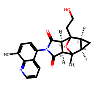 CC12OC(CCO)([C@@H]3C(=O)N(c4ccc(C#N)c5ncccc45)C(=O)[C@@H]31)[C@H]1C[C@H]12